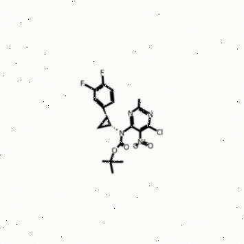 Cc1nc(Cl)c([N+](=O)[O-])c(N(C(=O)OC(C)(C)C)[C@@H]2C[C@H]2c2ccc(F)c(F)c2)n1